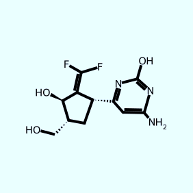 Nc1cc([C@@H]2C[C@H](CO)[C@@H](O)C2=C(F)F)nc(O)n1